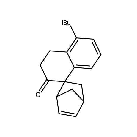 CCC(C)c1cccc2c1CCC(=O)C21CC2C=CC1C2